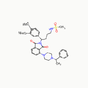 COc1ccc(C(CCCNS(C)(=O)=O)N2C(=O)c3cccc(N4CCN(C(C)c5ccccc5)CC4)c3C2=O)cc1OC